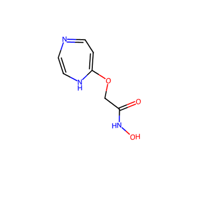 O=C(COC1=CC=NC=CN1)NO